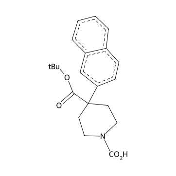 CC(C)(C)OC(=O)C1(c2ccc3ccccc3c2)CCN(C(=O)O)CC1